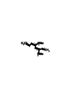 C=C/C=C(\C=C(/C=C)NC)NC